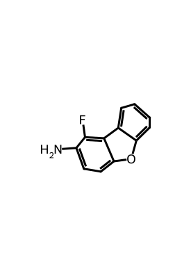 Nc1ccc2oc3ccccc3c2c1F